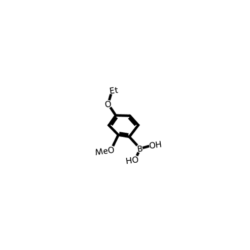 CCOc1ccc(B(O)O)c(OC)c1